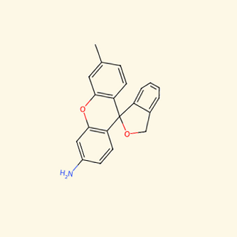 Cc1ccc2c(c1)Oc1cc(N)ccc1C21OCc2ccccc21